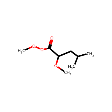 COOC(=O)C(CC(C)C)OC